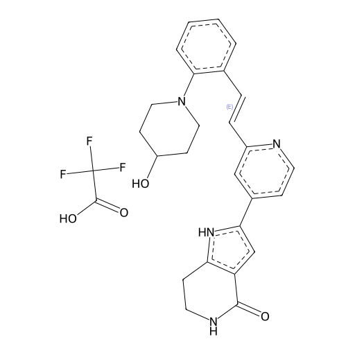 O=C(O)C(F)(F)F.O=C1NCCc2[nH]c(-c3ccnc(/C=C/c4ccccc4N4CCC(O)CC4)c3)cc21